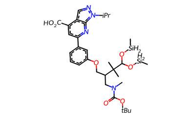 C[SiH2]OC(O[SiH2]C)C(C)(C)C(COc1cccc(-c2cc(C(=O)O)c3cnn(C(C)C)c3n2)c1)CN(C)C(=O)OC(C)(C)C